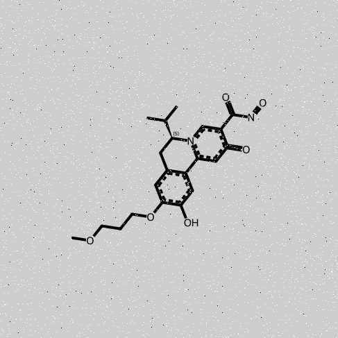 COCCCOc1cc2c(cc1O)-c1cc(=O)c(C(=O)N=O)cn1[C@H](C(C)C)C2